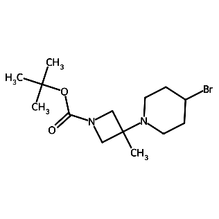 CC(C)(C)OC(=O)N1CC(C)(N2CCC(Br)CC2)C1